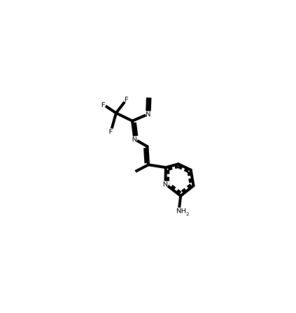 C=N/C(=N\C=C(/C)c1cccc(N)n1)C(F)(F)F